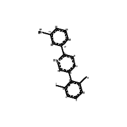 Cc1cccc(C)c1-c1ccc(-c2cccc(Br)c2)nc1